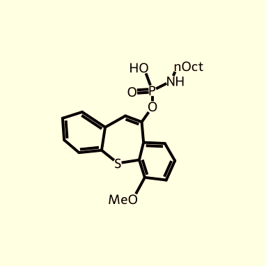 CCCCCCCCNP(=O)(O)OC1=Cc2ccccc2Sc2c(OC)cccc21